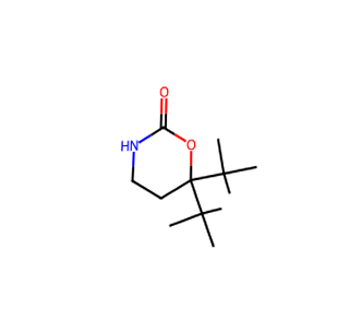 CC(C)(C)C1(C(C)(C)C)CCNC(=O)O1